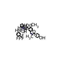 COc1ccc(/C=C(/C)C(=O)N2CCC(O)CC2)cc1C(=O)N[C@H]1[C@@H](C(=O)Nc2ccc(F)c(C(F)(F)F)c2)[C@H]2CC[C@@H]1/C2=C\C(F)(F)F